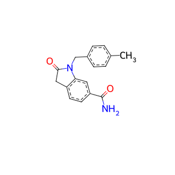 Cc1ccc(CN2C(=O)Cc3ccc(C(N)=O)cc32)cc1